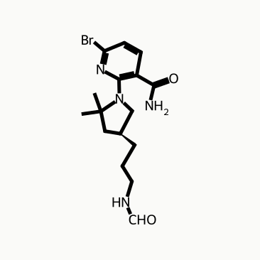 CC1(C)C[C@H](CCCNC=O)CN1c1nc(Br)ccc1C(N)=O